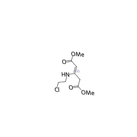 COC(=O)/C=C(/CC(=O)OC)NCCCl